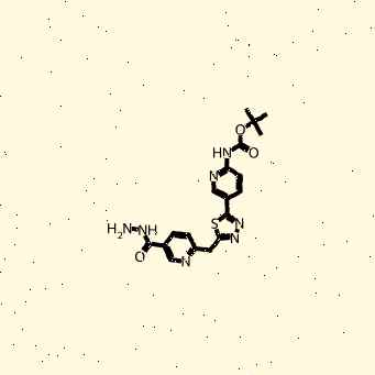 CC(C)(C)OC(=O)Nc1ccc(-c2nnc(Cc3ccc(C(=O)NN)cn3)s2)cn1